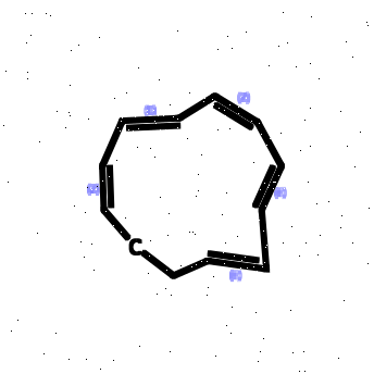 C1=C\C=C\C=C\CC\C=C/C=C/1